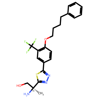 C[C@](N)(CO)c1nnc(-c2ccc(OCCCCc3ccccc3)c(C(F)(F)F)c2)s1